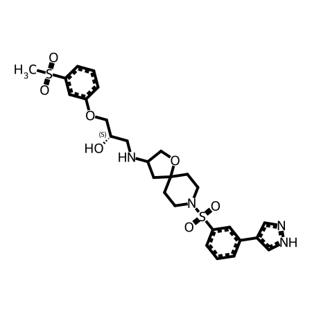 CS(=O)(=O)c1cccc(OC[C@@H](O)CNC2COC3(CCN(S(=O)(=O)c4cccc(-c5cn[nH]c5)c4)CC3)C2)c1